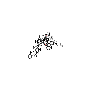 COc1ccc(C(OC[C@]23O[C@@H](n4cnc5c(NC(=O)c6ccccc6)ncnc54)[C@H](O[C@@H]2C)[C@@H]3OP(OCCC#N)N(C(C)C)C(C)C)(c2ccccc2)c2ccc(OC)cc2)cc1